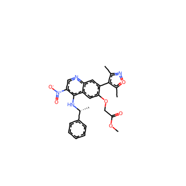 COC(=O)COc1cc2c(N[C@H](C)c3ccccc3)c([N+](=O)[O-])cnc2cc1-c1c(C)noc1C